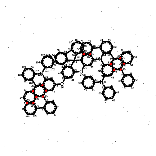 c1ccc(-c2ccccc2N(c2ccccc2)c2cc(Oc3ccc4c(c3)Oc3cc(N(c5cc(N(c6ccccc6)c6ccccc6)cc(N(c6ccccc6)c6ccccc6)c5)c5c(-c6ccccc6)cccc5-c5ccccc5)ccc3C43c4ccccc4-c4ccccc43)cc(N(c3ccccc3)c3ccccc3-c3ccccc3)c2)cc1